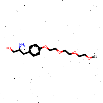 CCOCCOCCOCCOc1ccc(C[C@H](N)CO)cc1